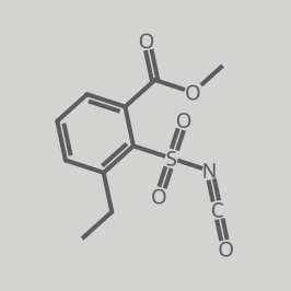 CCc1cccc(C(=O)OC)c1S(=O)(=O)N=C=O